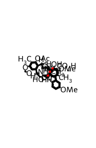 COc1ccc2[nH]c3c(c2c1)C[C@H](C(=O)O)N[C@]31CS[C@@H]2c3c(OC(C)=O)c(C)c4c(c3[C@H](COC1=O)N1[C@@H]2[C@@H]2c3c(cc(C)c(OC)c3O)CC1(O)CN2C)OCO4